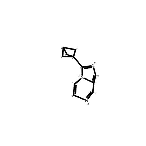 c1cn2c(C34CC(C3)C4)ncc2cn1